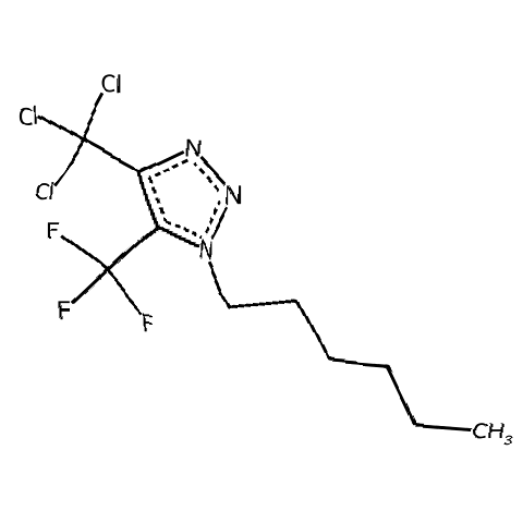 CCCCCCn1nnc(C(Cl)(Cl)Cl)c1C(F)(F)F